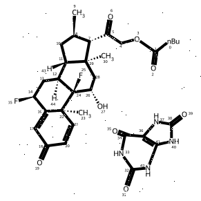 CCCCC(=O)OCC(=O)[C@H]1[C@H](C)C[C@H]2[C@@H]3C[C@H](F)C4=CC(=O)C=C[C@]4(C)[C@@]3(F)[C@@H](O)C[C@@]21C.O=c1[nH]c(=O)c2[nH]c(=O)[nH]c2[nH]1